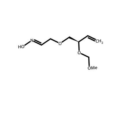 C=C[C@H](COC/C=N/O)OCOC